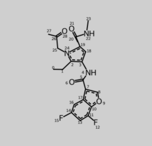 CCc1c(NC(=O)c2coc3c(F)cc(F)cc23)cc(C(=O)NC)n1CC(C)=O